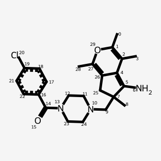 CC1=C(C)C2=C(N)C(C)(CN3CCN(C(=O)c4ccc(Cl)cc4)CC3)CC2=C(C)O1